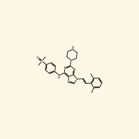 Cc1cccc(C)c1/C=C/n1cnc2c(Nc3ccc(P(C)(C)=O)cc3)nc(N3CCNCC3)nc21